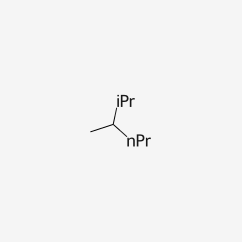 CCCC(C)C(C)C